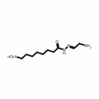 CCCCCCCCCCCCCCCC(=O)N/N=C/CN